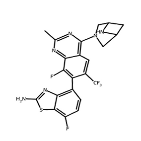 Cc1nc(N2CC3CC(C2)N3)c2cc(C(F)(F)F)c(-c3ccc(F)c4sc(N)nc34)c(F)c2n1